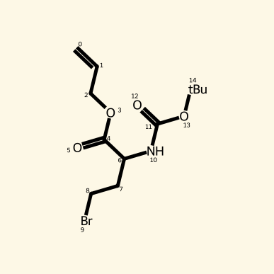 C=CCOC(=O)C(CCBr)NC(=O)OC(C)(C)C